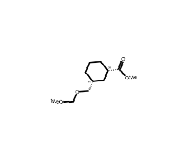 COCOC[C@@H]1CCC[C@H](C(=O)OC)C1